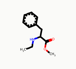 CCNC(Cc1ccccc1)C(=O)OC